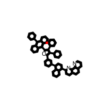 c1ccc(-c2c(-c3cccc(-c4ccc(-c5ccc6ccc7cccnc7c6n5)c5ccccc45)c3)oc(-c3c4ccccc4c(-c4ccccc4)c4ccccc34)c2-c2ccccc2)cc1